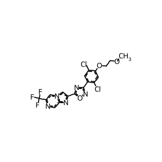 COCCOc1cc(Cl)c(-c2noc(-c3cn4cc(C(F)(F)F)ncc4n3)n2)cc1Cl